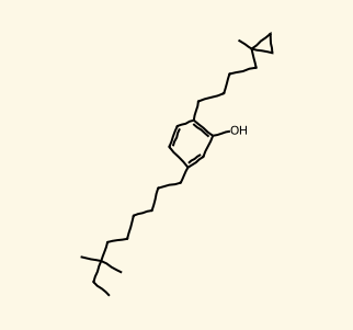 CCC(C)(C)CCCCCCc1ccc(CCCCC2(C)CC2)c(O)c1